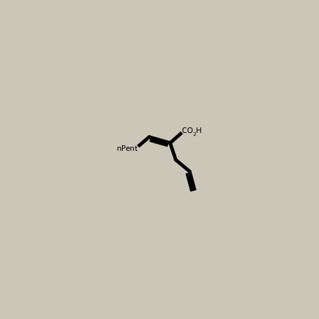 C=CCC(=CCCCCC)C(=O)O